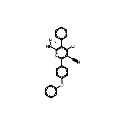 N#Cc1c(-c2ccc(Oc3ccccc3)cc2)nc(NN)c(-c2ccccc2)c1Cl